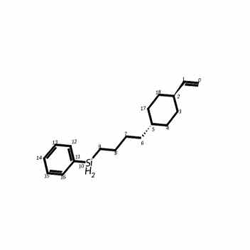 C=C[C@H]1CC[C@H](CCCC[SiH2]c2ccccc2)CC1